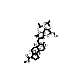 CNC(=O)[C@H]1CC[C@@]2(N)[C@@H]3CC[C@@H]4C[C@@H]([C@H]5O[C@@H](CO)[C@H](OC(C)=O)[C@@H](OC(C)=O)[C@H]5OC(C)=O)CC[C@]4(C)[C@H]3CC[C@]12C